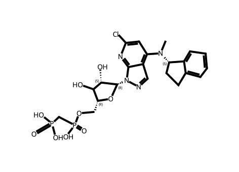 CN(c1cc(Cl)nc2c1cnn2[C@@H]1O[C@H](COP(=O)(O)CP(=O)(O)O)C(O)[C@@H]1O)[C@H]1CCc2ccccc21